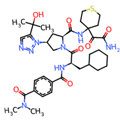 CN(C)C(=O)c1ccc(C(=O)N[C@H](CC2CCCCC2)C(=O)N2C[C@@H](n3nncc3C(C)(C)O)C[C@H]2C(=O)NC2(C(=O)C(N)=O)CCSCC2)cc1